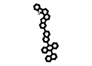 c1ccc2c(-c3c4ccccc4c(-c4ccc5cc(-c6ccc7c(c6)-c6ccc8ccc9c%10ccccc%10sc9c8c6C7)ccc5c4)c4ccccc34)cccc2c1